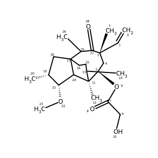 C=C[C@]1(C)C[C@@H](OC(=O)CO)[C@]2(C)C(C)CCC3(C[C@@H](C)[C@@H](OC)C32)C(C)C1=O